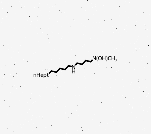 CCCCCCCCCCCCNCCCCN(C)O